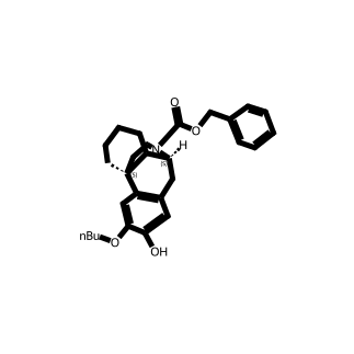 CCCCOc1cc2c(cc1O)C[C@H]1C3CCCC[C@@]23CCN1C(=O)OCc1ccccc1